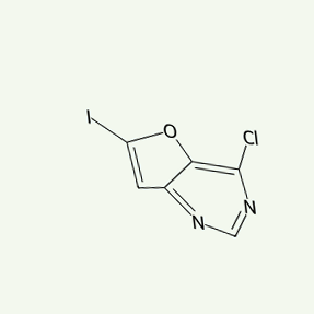 Clc1ncnc2cc(I)oc12